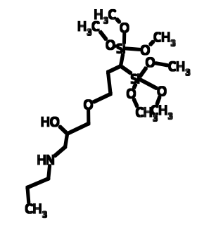 CCCNCC(O)COCCC([Si](OC)(OC)OC)[Si](OC)(OC)OC